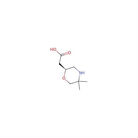 CC1(C)CO[C@@H](CC(=O)O)CN1